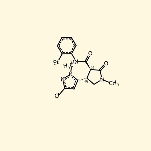 CCc1ccccc1NC(=O)[C@H]1C(=O)N(C)C[C@@H]1c1cc(Cl)nn1C